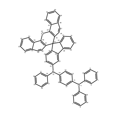 c1ccc(N(c2ccccc2)c2ccc(N(c3ccccc3)c3ccc4c(c3)-c3ccccc3C43c4ccc5ccccc5c4Oc4c3ccc3ccccc43)cc2)cc1